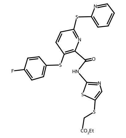 CCOC(=O)CSc1cnc(NC(=O)c2nc(Sc3ccccn3)ccc2Sc2ccc(F)cc2)s1